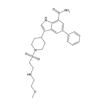 COCCNCCS(=O)(=O)N1CCC(c2c[nH]c3c(C(N)=O)cc(-c4ccccc4)cc23)CC1